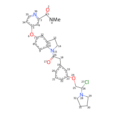 CNC(=O)c1cc(Oc2ccc3c(c2)CCN3C(=O)Cc2cccc(OCC(Cl)N3CCCC3)c2)ccn1